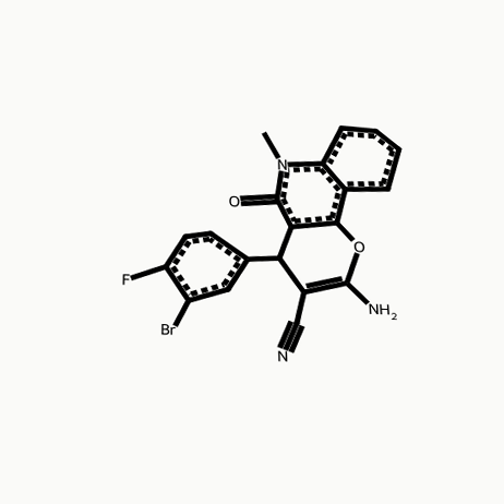 Cn1c(=O)c2c(c3ccccc31)OC(N)=C(C#N)C2c1ccc(F)c(Br)c1